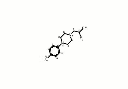 Cc1ccc(N2CCN(CC(F)F)CC2)cc1